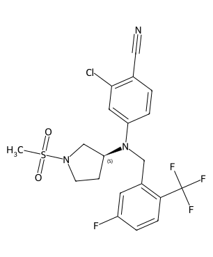 CS(=O)(=O)N1CC[C@H](N(Cc2cc(F)ccc2C(F)(F)F)c2ccc(C#N)c(Cl)c2)C1